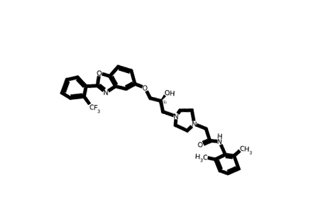 Cc1cccc(C)c1NC(=O)CN1CCN(C[C@H](O)COc2ccc3oc(-c4ccccc4C(F)(F)F)nc3c2)CC1